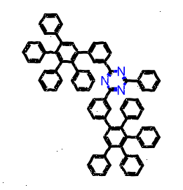 c1ccc(-c2nc(-c3cccc(-c4cc(-c5ccccc5)c(-c5ccccc5)c(-c5ccccc5)c4-c4ccccc4)c3)nc(-c3cccc(-c4cc(-c5ccccc5)c(-c5ccccc5)c(-c5ccccc5)c4-c4ccccc4)c3)n2)cc1